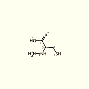 NN[C@H](CS)C(O)=S